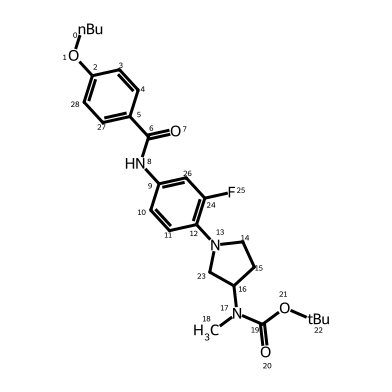 CCCCOc1ccc(C(=O)Nc2ccc(N3CCC(N(C)C(=O)OC(C)(C)C)C3)c(F)c2)cc1